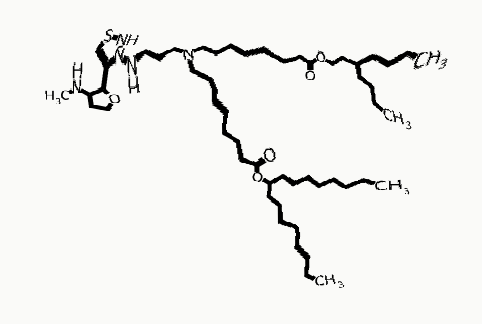 CCCCCCCCC(CCCCCCCC)OC(=O)CCCCCCCN(CCCCCCCC(=O)OCCC(CCCC)CCCC)CCCNN1NSC=C1C1OCCC1NC